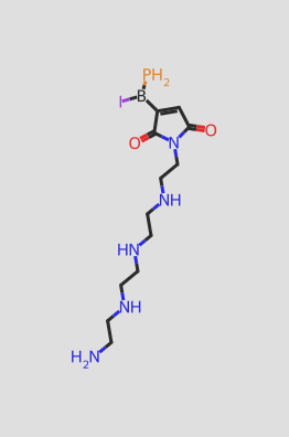 NCCNCCNCCNCCN1C(=O)C=C(B(P)I)C1=O